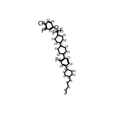 CCCCCC1CCC(c2ccc(C3CCC(C4CCC(C(F)(F)Oc5ccc(Cl)c(F)c5)CC4)CC3)c(F)c2)CC1